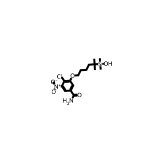 CC(C)(CCCCOc1cc(C(N)=O)cc([N+](=O)[O-])c1Cl)[Si](C)(C)O